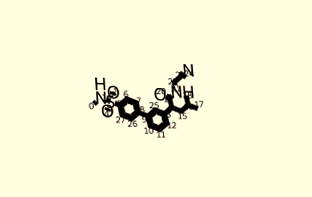 CNS(=O)(=O)c1ccc(-c2cccc(C(CC(C)C)C(=O)NCC#N)c2)cc1